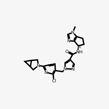 Cn1cnc2c1CC[C@H]2NC(=O)c1cnn(Cc2ccc(N3CC4CC4C3)nc2Cl)c1